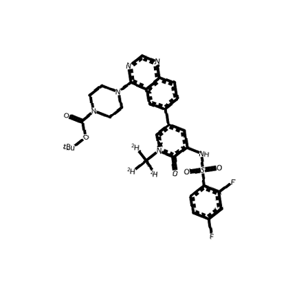 [2H]C([2H])([2H])n1cc(-c2ccc3ncnc(N4CCN(C(=O)OC(C)(C)C)CC4)c3c2)cc(NS(=O)(=O)c2ccc(F)cc2F)c1=O